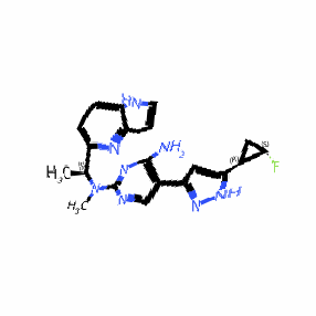 C[C@@H](c1ccc2[nH]ccc2n1)N(C)c1ncc(-c2cc([C@H]3C[C@@H]3F)[nH]n2)c(N)n1